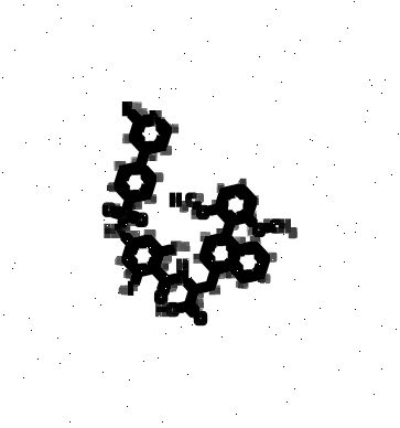 COc1cccc(OC)c1-c1ccc(CC(NC(=O)c2c(F)cc(NS(=O)(=O)c3ccc(-c4ccnc(F)c4)cc3)cc2F)C(=O)O)c2ccccc12